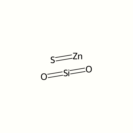 O=[Si]=O.[S]=[Zn]